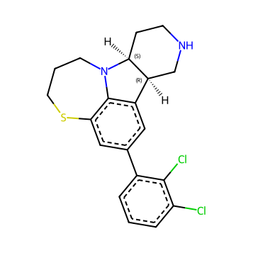 Clc1cccc(-c2cc3c4c(c2)[C@@H]2CNCC[C@@H]2N4CCCS3)c1Cl